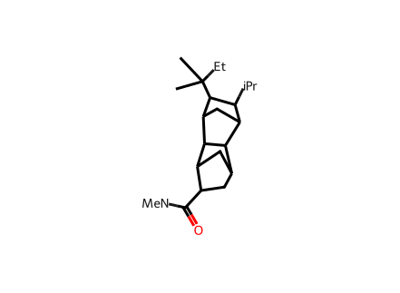 CCC(C)(C)C1C2CC(C3C4CC(C(=O)NC)C(C4)C23)C1C(C)C